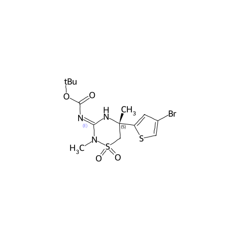 CN1/C(=N/C(=O)OC(C)(C)C)N[C@](C)(c2cc(Br)cs2)CS1(=O)=O